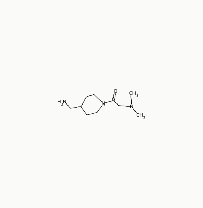 CN(C)CC(=O)N1CCC(CN)CC1